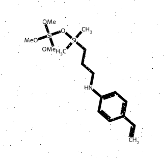 C=Cc1ccc(NCCC[Si](C)(C)O[Si](OC)(OC)OC)cc1